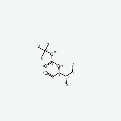 CC[C@@H](C)[C@@H](C=O)NC(=O)OC(C)(C)C